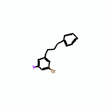 Brc1cc(I)cc(CCCc2ccccc2)c1